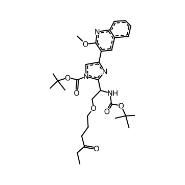 CCC(=O)CCCOCC(NC(=O)OC(C)(C)C)c1nc(-c2cc3ccccc3nc2OC)cn1C(=O)OC(C)(C)C